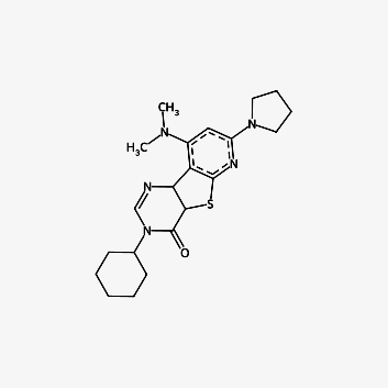 CN(C)c1cc(N2CCCC2)nc2c1C1N=CN(C3CCCCC3)C(=O)C1S2